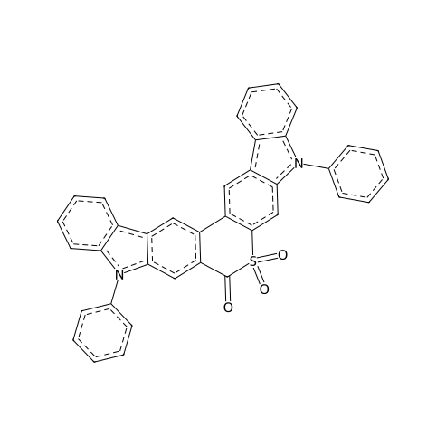 O=C1c2cc3c(cc2-c2cc4c5ccccc5n(-c5ccccc5)c4cc2S1(=O)=O)c1ccccc1n3-c1ccccc1